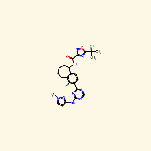 Cn1ccc(Nc2ncnc(-c3ccc4c(c3F)CCCCC4NC(=O)c3noc(C(C)(C)C)n3)n2)n1